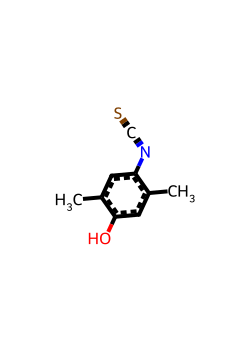 Cc1cc(N=C=S)c(C)cc1O